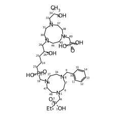 CCP(=O)(O)CN1CCN(Cc2ccccc2)CCN(CP(=O)(O)CCC[C@H](O)CN2CCN(C[C@H](C)O)CCN(CP(=O)(O)O)CC2)CC1